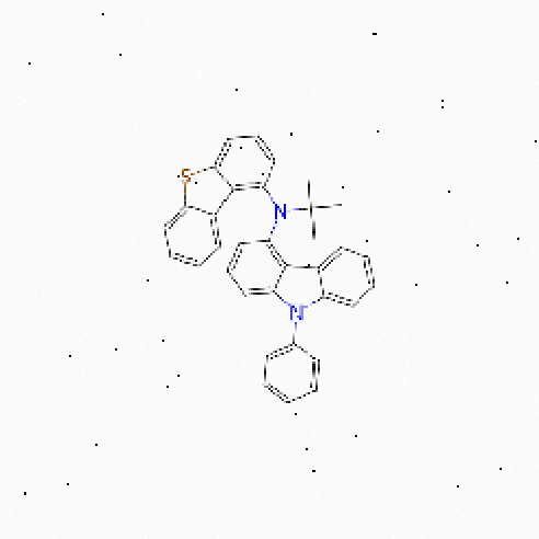 CC(C)(C)N(c1cccc2sc3ccccc3c12)c1cccc2c1c1ccccc1n2-c1ccccc1